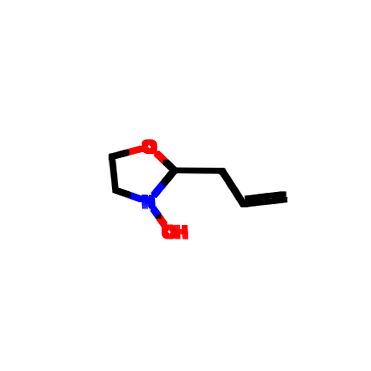 C=CCC1OCCN1O